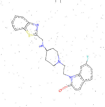 O=c1ccc2ccc(F)cc2n1CCN1CCC(NCc2nc3ccccc3s2)CC1